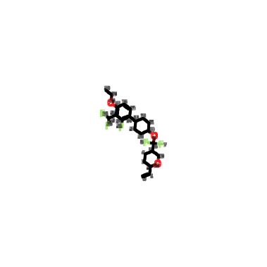 C=CC1CCC(C(F)(F)OC2CCC(c3ccc(OCC)c(C(F)F)c3F)CC2)CO1